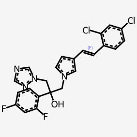 OC(Cn1ccc(/C=C/c2ccc(Cl)cc2Cl)c1)(Cn1cncn1)c1ccc(F)cc1F